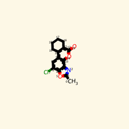 Cc1nc2c(o1)c(Cl)cc1c3c(c(=O)oc12)CCCC3